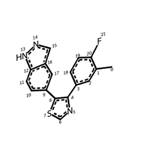 Cc1cc(-c2ncsc2-c2ccc3[nH]ncc3c2)ccc1F